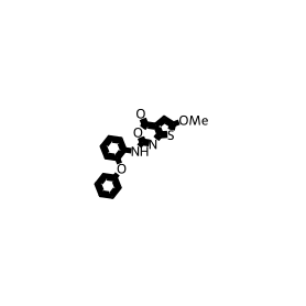 COc1cc2c(=O)oc(Nc3ccccc3Oc3ccccc3)nc2s1